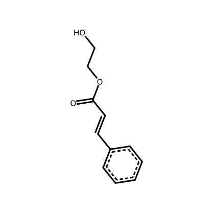 O=C(/C=C/c1ccccc1)OCCO